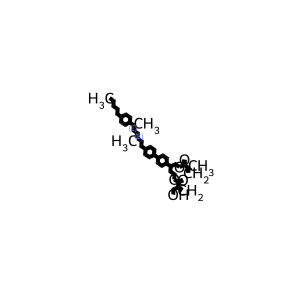 C=C(C)C(=O)OCC(CCOC(=O)C(=C)CO)C1CCC(C2CCC(CC/C(C)=C/C=C(\C)C3CCC(CCCCC)CC3)CC2)CC1